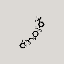 O=C(CN[C@H]1CC[C@@H](S(=O)(=O)c2cccc(C(F)(F)F)c2)CC1)Nc1ccccn1